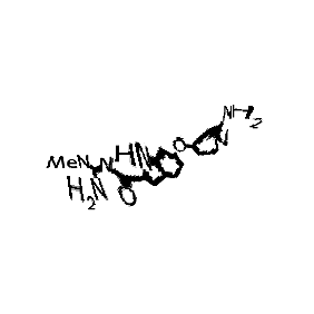 CNC(N)=NC(=O)c1cc2ccc(Oc3ccnc(N)c3)cc2[nH]1